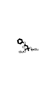 CC(C)(C)OOC(C)(CC(=O)Oc1ccccc1)OOC(C)(C)C